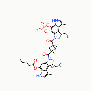 CCCCC(=O)Oc1cc2c(c3c(C)c[nH]c13)[C@H](CCl)CN2C(=O)C12CC3(C(=O)N4CC(CCl)c5c4cc(OP(=O)(O)O)c4[nH]cc(C)c54)CC31C2